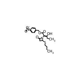 CCCCSC1CC(=O)N1/C(C(=O)OCc1ccc([N+](=O)[O-])cc1)=C(/O)CC